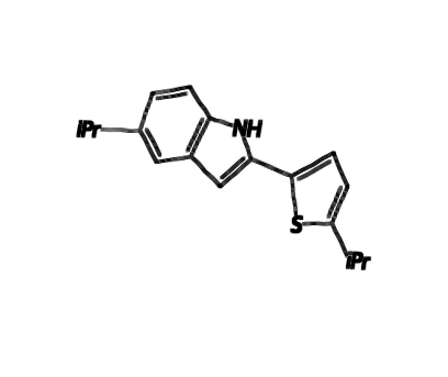 CC(C)c1ccc2[nH]c(-c3ccc(C(C)C)s3)cc2c1